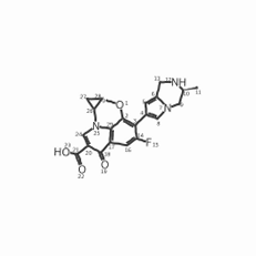 COc1c(-c2cc3n(c2)C[C@H](C)NC3)c(F)cc2c(=O)c(C(=O)O)cn(C3CC3)c12